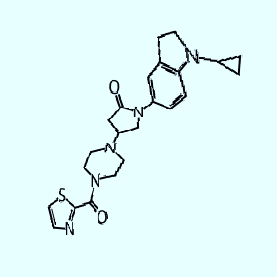 O=C(c1nccs1)N1CCN(C2CC(=O)N(c3ccc4c(c3)CCN4C3CC3)C2)CC1